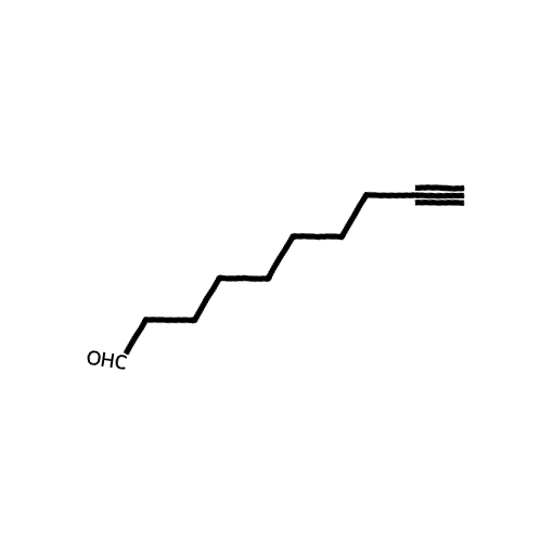 C#CCCCCCCCC=O